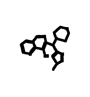 Cn1cnc(C(c2ccc3cccnc3c2O)N2CCOCC2)c1